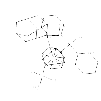 C[Si](C)(C)[C]12[CH]3[C]4(C(P)(C5CCCCN5)C5CCCCN5)[C]5(C6(CP)C7CC8CC(C7)CC6C8)[CH]1[Fe]34521678[CH]2[CH]1[CH]6[CH]7[CH]28